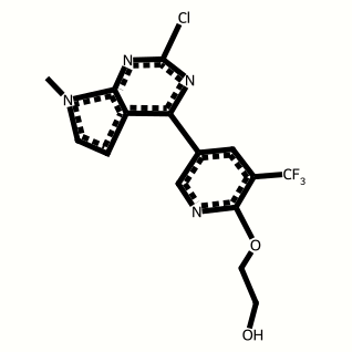 Cn1ccc2c(-c3cnc(OCCO)c(C(F)(F)F)c3)nc(Cl)nc21